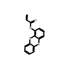 C=CC(=O)Oc1cccc2c1Sc1ccccc1S2